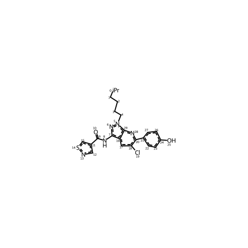 CC(C)CCCCn1nc(NC(=O)c2cnsc2)c2cc(Cl)c(-c3ccc(O)cc3)nc21